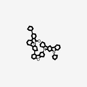 O=c1c2ccc(-c3ccccc3)cc2c2cccc3c4cc(-c5cccc6oc7ccc(-n8c9ccccc9c9cc%10c%11ccccc%11n(-c%11ccccc%11)c%10cc98)cc7c56)ccc4n1c23